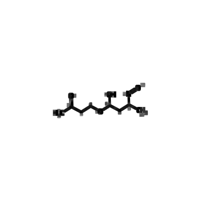 CC(=O)CCOC(O)CC(C)N=O